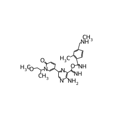 CNCc1ccc(C(=N)OC(=N)c2nc(-c3ccc(=O)n(C(C)COC)c3)cnc2N)c(C)c1